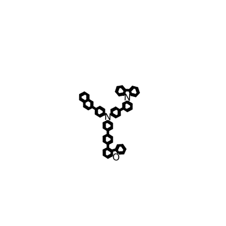 c1cc(-c2ccc(N(c3ccc(-c4ccc(-c5cccc6oc7ccccc7c56)cc4)cc3)c3ccc(-c4ccc5ccccc5c4)cc3)cc2)cc(-n2c3ccccc3c3ccccc32)c1